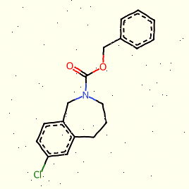 O=C(OCc1ccccc1)N1CCCc2cc(Cl)ccc2C1